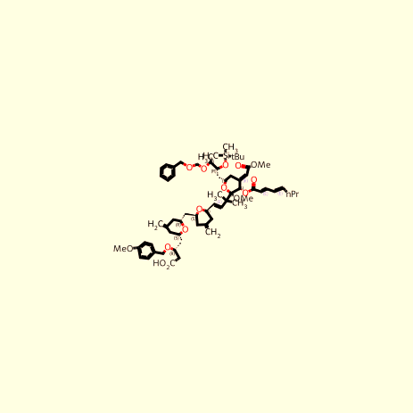 C=C1C[C@H](C[C@@H]2CC(=C)C[C@H](/C=C/C(C)(C)[C@]3(OC)O[C@H](C[C@@H](O[Si](C)(C)C(C)(C)C)[C@@H](C)OCOCc4ccccc4)C/C(=C\C(=O)OC)[C@@H]3OC(=O)/C=C/C=C/CCC)O2)O[C@H](C[C@H](CC(=O)O)OCc2ccc(OC)cc2)C1